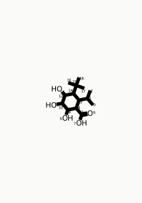 CC(C)C1C(C(=O)O)C(O)C(O)C(O)C1C(C)(C)C